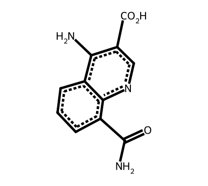 NC(=O)c1cccc2c(N)c(C(=O)O)cnc12